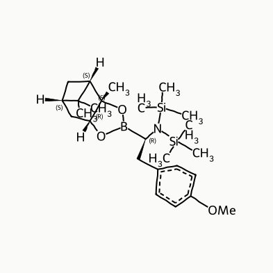 COc1ccc(C[C@@H](B2O[C@@H]3C[C@@H]4C[C@@H](C4(C)C)[C@]3(C)O2)N([Si](C)(C)C)[Si](C)(C)C)cc1